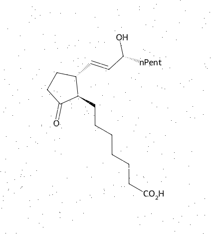 CCCCC[C@@H](O)C=C[C@H]1CCC(=O)[C@@H]1CCCCCCC(=O)O